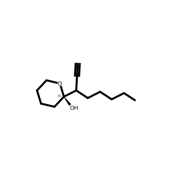 C#CC(CCCCC)[C@]1(O)CCCCO1